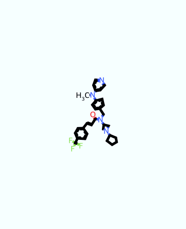 CN(c1ccncc1)c1ccc(CN(C(=O)C=Cc2ccc(C(F)(F)F)cc2)C2CN(C3CCCC3)C2)cc1